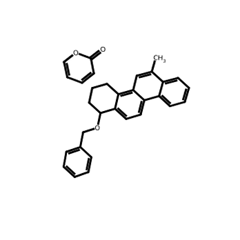 Cc1cc2c3c(ccc2c2ccccc12)C(OCc1ccccc1)CCC3.O=c1cccco1